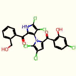 O=C(c1ccccc1CO)c1[nH]c(Cl)c(Cl)c1-n1c(C(=O)c2ccc(Cl)cc2O)cc(Cl)c1Cl